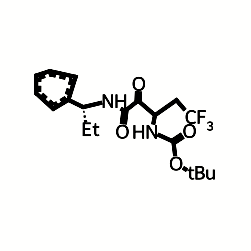 CC[C@@H](NC(=O)C(=O)C(CC(F)(F)F)NC(=O)OC(C)(C)C)c1ccccc1